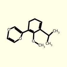 COC1=C(C2=COC=CO2)CCC=C1C(C)C